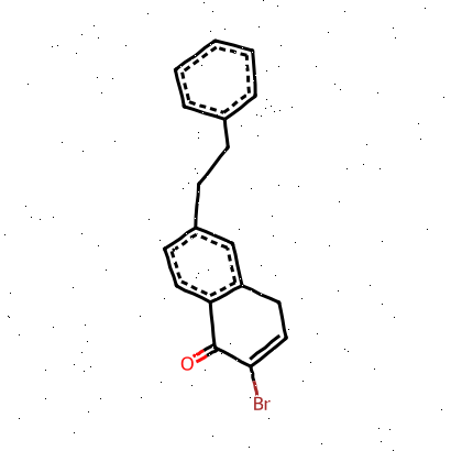 O=C1C(Br)=CCc2cc(CCc3ccccc3)ccc21